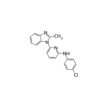 Cc1nc2ccccc2n1-c1cccc(Nc2ccc(Cl)cc2)n1